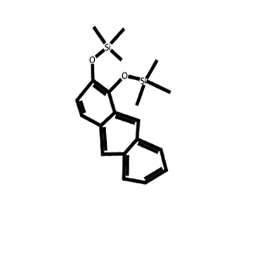 C[Si](C)(C)Oc1ccc2cc3ccccc3cc2c1O[Si](C)(C)C